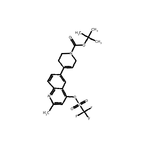 Cc1cc(OS(=O)(=O)C(F)(F)F)c2cc(C3=CCN(C(=O)OC(C)(C)C)CC3)ccc2n1